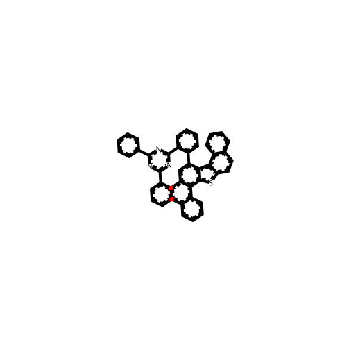 c1ccc(-c2nc(-c3ccccc3)nc(-c3ccccc3-c3cc4ccc5ccccc5c4c4sc5ccc6ccccc6c5c34)n2)cc1